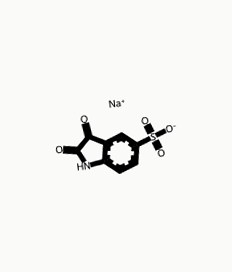 O=C1Nc2ccc(S(=O)(=O)[O-])cc2C1=O.[Na+]